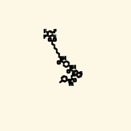 CCN(C(=O)Cn1c(C(=O)N[C@H]2CC[C@H](C(=O)NCCCCCCCC(=O)Oc3c(F)c(F)cc(F)c3F)CC2)cc2sccc21)c1cccc(C)c1